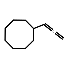 C=C=CC1CCCCCCC1